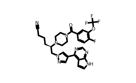 N#CCCC[C@H](Cn1cc(-c2ncnc3[nH]ccc23)cn1)N1CCN(C(=O)c2ccc(F)c(OC(F)(F)F)c2)CC1